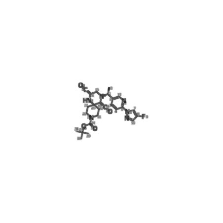 C[C@@H](c1ccc(-n2cc(F)cn2)nc1)N1CC(=C=O)NC2(CCN(C(=O)OC(C)(C)C)CC2)C1=C=O